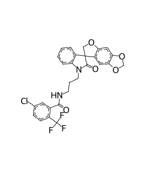 O=C(NCCCN1C(=O)C2(COc3cc4c(cc32)OCO4)c2ccccc21)c1cc(Cl)ccc1C(F)(F)F